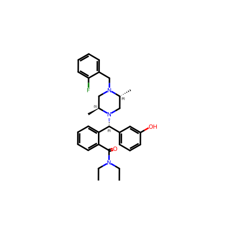 CCN(CC)C(=O)c1ccccc1[C@@H](c1cccc(O)c1)N1C[C@@H](C)N(Cc2ccccc2F)C[C@@H]1C